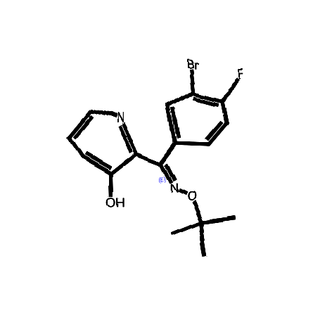 CC(C)(C)O/N=C(\c1ccc(F)c(Br)c1)c1ncccc1O